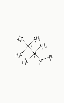 [CH2]CO[Si](C)(C)C(C)(C)C